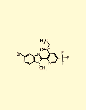 CC[S+]([O-])c1cc(C(F)(F)F)cnc1-c1nc2cc(Br)ncc2n1C